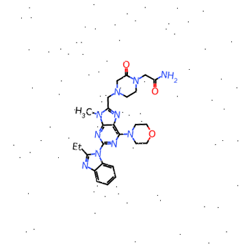 CCc1nc2ccccc2n1-c1nc(N2CCOCC2)c2nc(CN3CCN(CC(N)=O)C(=O)C3)n(C)c2n1